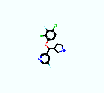 Fc1cncc(C(Oc2ccc(Cl)c(F)c2Cl)[C@H]2CCNC2)c1